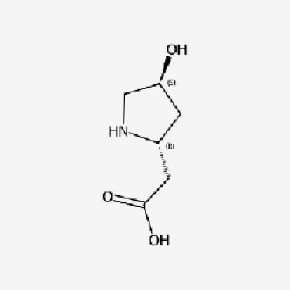 O=C(O)C[C@H]1C[C@H](O)CN1